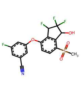 CS(=O)(=O)c1ccc(Oc2cc(F)cc(C#N)c2)c2c1C(O)C(F)(F)C2F